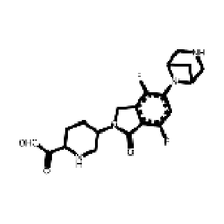 O=CC(=O)C1CCC(N2Cc3c(F)c(N4C5CNCC4C5)cc(F)c3C2=O)CN1